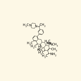 C=C(N)C1=C(C)C(N(C)C)[C@]2(N)CC3Cc4c(-c5cccc(C(=C)N6CCN(C)CC6)c5)ccc(C)c4C(=C)C3=C(O)[C@]2(C)C1=C